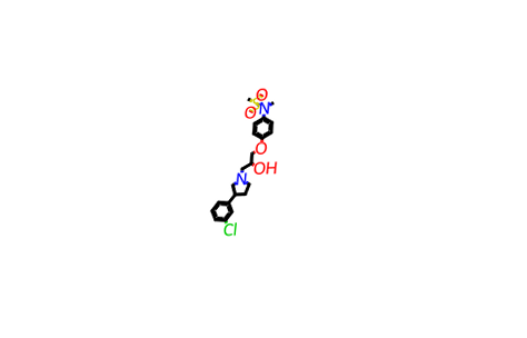 CN(c1ccc(OCC(O)CN2CCC(c3cccc(Cl)c3)C2)cc1)S(C)(=O)=O